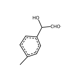 Cc1ccc(C(O)[C]=O)cc1